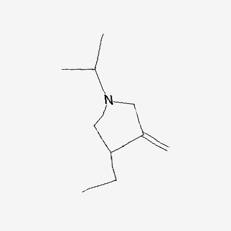 C=C1CN(C(C)C)CC1CC